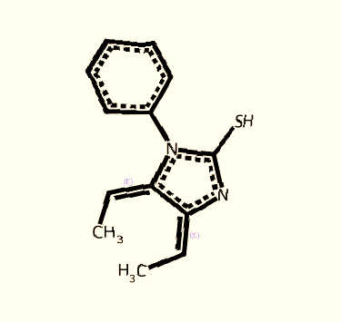 C/C=c1/nc(S)n(-c2ccccc2)/c1=C/C